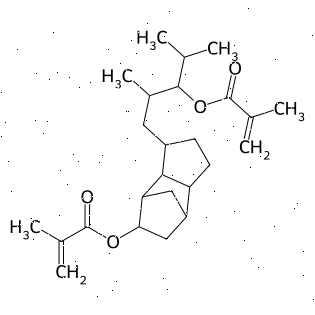 C=C(C)C(=O)OC1CC2CC1C1C(CC(C)C(OC(=O)C(=C)C)C(C)C)CCC21